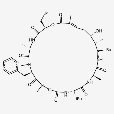 CC[C@H](C)[C@H]1NC(=O)[C@@H](C)NC(=O)[C@H]([C@@H](C)CC)NC(=O)CN(C)C(=O)[C@@H](Cc2ccccc2)N(C)C(=O)[C@H](C)NC(=O)[C@@H](CC(C)C)OC(=O)/C(C)=C/C[C@H](O)[C@@H]1C